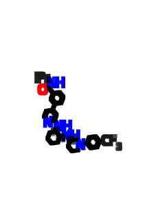 CC(C)NC(=O)c1cccc(-c2ccnc(N[C@@H]3CCCC[C@H]3N[C@H]3CCCN(c4ccc(C(F)(F)F)cc4)C3)c2)c1